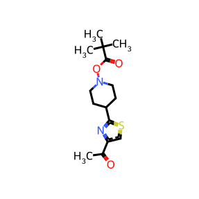 CC(=O)c1csc(C2CCN(OC(=O)C(C)(C)C)CC2)n1